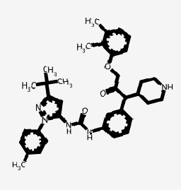 Cc1ccc(-n2nc(C(C)(C)C)cc2NC(=O)Nc2cccc(C(C(=O)COc3cccc(C)c3C)C3CCNCC3)c2)cc1